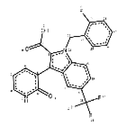 O=C(O)c1c(-c2ccc[nH]c2=O)c2cc(C(F)(F)F)ccc2n1Cc1ccccc1F